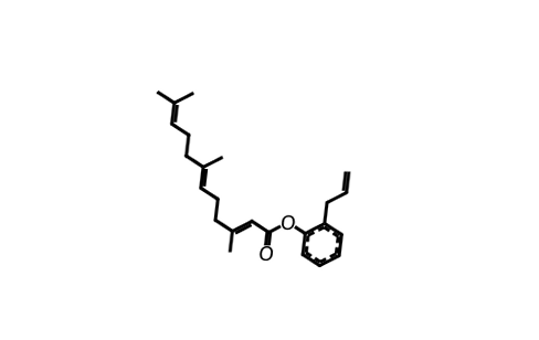 C=CCc1ccccc1OC(=O)/C=C(\C)CC/C=C(\C)CCC=C(C)C